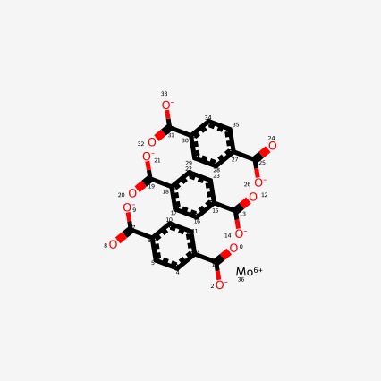 O=C([O-])c1ccc(C(=O)[O-])cc1.O=C([O-])c1ccc(C(=O)[O-])cc1.O=C([O-])c1ccc(C(=O)[O-])cc1.[Mo+6]